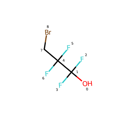 OC(F)(F)C(F)(F)CBr